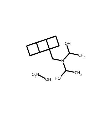 CC(O)N(CC12C3C4C5C3C1C5C42)C(C)O.O=[N+]([O-])O